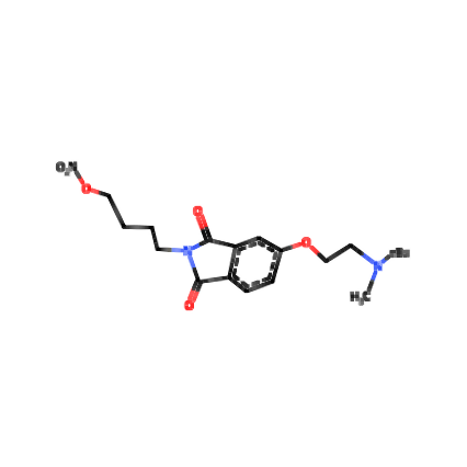 CCCCN(C)CCOc1ccc2c(c1)C(=O)N(CCCCO[N+](=O)[O-])C2=O